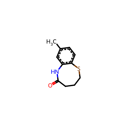 Cc1ccc2c(c1)NC(=O)CCCS2